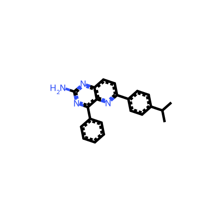 CC(C)c1ccc(-c2ccc3nc(N)nc(-c4ccccc4)c3n2)cc1